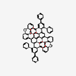 c1ccc(-c2cc(-c3ccccc3)c(-c3cc4c5c(cc6c(-c7c(-c8ccccc8)cc(-c8ccccc8)cc7-c7ccccc7)cc7c8c(cc3c5c68)B3c5ccccc5Oc5cccc-7c53)B3c5ccccc5Oc5cccc-4c53)c(-c3ccccc3)c2)cc1